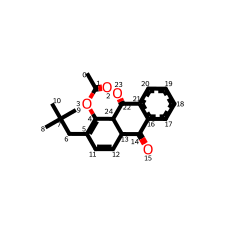 CC(=O)OC1=C(CC(C)(C)C)C=CC2C(=O)c3ccccc3C(=O)C12